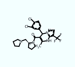 CC1=C(C(=O)N2CCC[C@H]2CN2CCCC2)C(c2ccc(Cl)c(Cl)c2)n2ncc(C(F)(F)F)c2N1